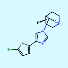 Brc1ccc(-c2cn([C@H]3CN4CCC3CC4)cn2)s1